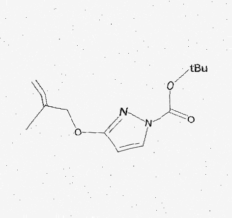 C=C(C)COc1ccn(C(=O)OC(C)(C)C)n1